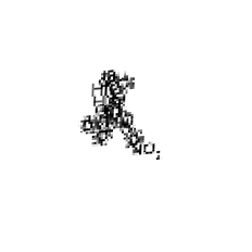 CC(C)(C)OC(=O)NC(C(=O)N[C@@H]1C(=O)N2C(C(=O)OC(c3ccccc3)c3ccccc3)=C(CC(=O)OCc3ccc([N+](=O)[O-])cc3)CS[C@@H]12)c1ccccc1